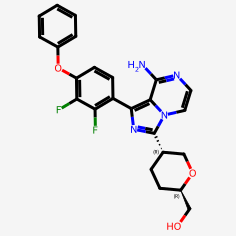 Nc1nccn2c([C@H]3CC[C@H](CO)OC3)nc(-c3ccc(Oc4ccccc4)c(F)c3F)c12